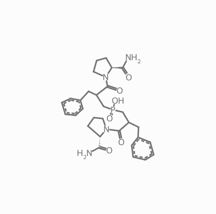 NC(=O)[C@@H]1CCCN1C(=O)C(Cc1ccccc1)CP(=O)(O)CC(Cc1ccccc1)C(=O)N1CCC[C@H]1C(N)=O